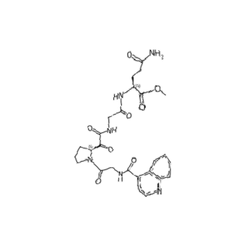 COC(=O)[C@H](CCC(N)=O)NC(=O)CNC(=O)C(=O)[C@@H]1CCCN1C(=O)CNC(=O)c1ccnc2ccccc12